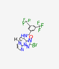 CC(NC(=O)c1cc(C(F)(F)F)cc(C(F)(F)F)c1)c1nc(Br)nn1-c1ncccn1